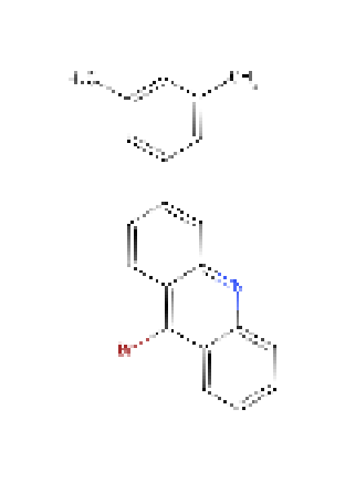 Cc1cc(C)cc(-c2ccc3c(Br)c4ccccc4nc3c2)c1